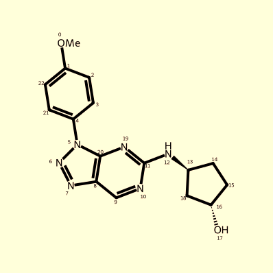 COc1ccc(-n2nnc3cnc(N[C@H]4CC[C@H](O)C4)nc32)cc1